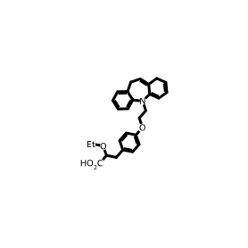 CCOC(Cc1ccc(OCCN2C3=CC=CCC3=CCc3ccccc32)cc1)C(=O)O